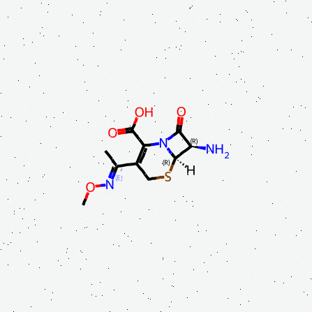 CO/N=C(\C)C1=C(C(=O)O)N2C(=O)[C@@H](N)[C@H]2SC1